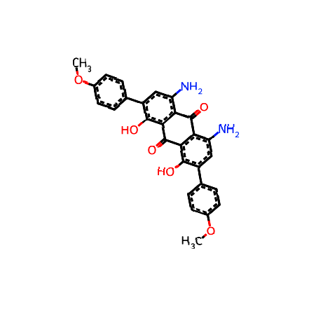 COc1ccc(-c2cc(N)c3c(c2O)C(=O)c2c(O)c(-c4ccc(OC)cc4)cc(N)c2C3=O)cc1